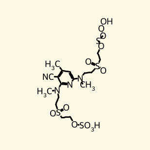 Cc1cc(N(C)CCS(=O)(=O)CCOSOOO)nc(N(C)CCS(=O)(=O)CCOS(=O)(=O)O)c1C#N